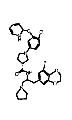 O=C(NC(Cc1cc(F)c2c(c1)OCCO2)CN1CCCC1)[C@@H]1CCN(c2ccc(Cl)c(OC3C=CC=CN3)c2)C1